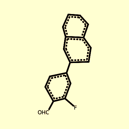 O=Cc1ccc(-c2ccc3ccccc3c2)cc1F